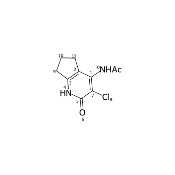 CC(=O)Nc1c2c([nH]c(=O)c1Cl)CCC2